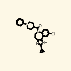 O=C(C1CCN(c2ccccc2)CC1)N1CCc2nc(C3CC3)[nH]c2-c2cc(Cl)ccc21